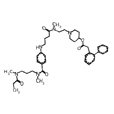 CCC(=O)N(C)CCCN(C)C(=O)c1ccc(NCCCC(=O)N(C)CCN2CCC(OC(=O)Cc3ccccc3-c3ccccc3)CC2)cc1